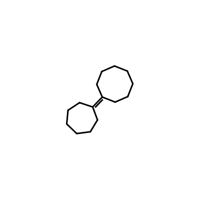 C1CCCC(=C2CCCCCC2)CCC1